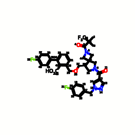 CC(C)(C(=O)N1CC2(CN(C(=O)c3cnn(Cc4ccc(F)cc4)c3)C[C@H]2COCc2cccc(-c3ccc(F)cc3)c2C(=O)O)C1)C(F)(F)F